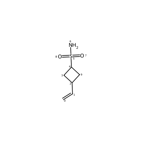 C=CC1CC(S(N)(=O)=O)C1